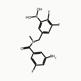 Bc1cc(F)cc(C(=O)N(C)Cc2cc(F)c(F)c(B(O)O)c2)c1